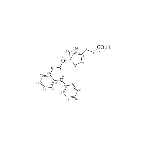 O=C(O)CCC12CCC(OCCc3ccccc3Oc3ccccc3)(CC1)C2